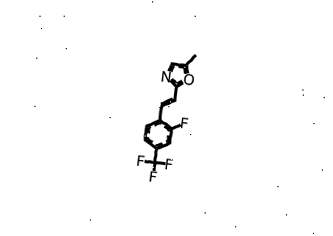 Cc1cnc(C=Cc2ccc(C(F)(F)F)cc2F)o1